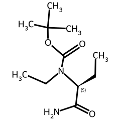 CC[C@@H](C(N)=O)N(CC)C(=O)OC(C)(C)C